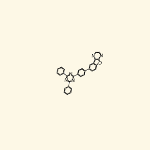 c1ccc(-c2nc(-c3ccccc3)nc(-c3ccc(-c4ccc5oc6nccnc6c5c4)cc3)n2)cc1